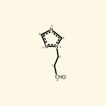 O=[C]CCn1cncn1